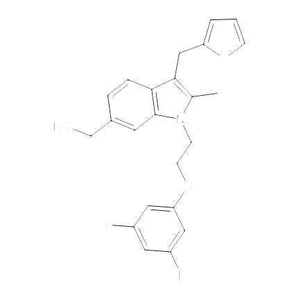 Cc1c(Cc2cccs2)c2ccc(CO)cc2n1CCOc1cc(F)cc(F)c1